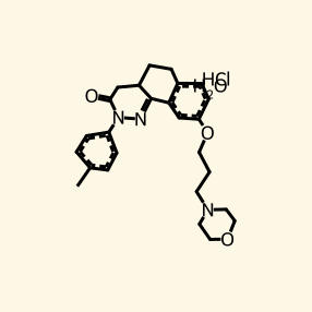 Cc1ccc(N2N=C3c4cc(OCCCN5CCOCC5)ccc4CCC3CC2=O)cc1.Cl.O